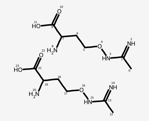 CC(=N)NOCCC(N)C(=O)O.CC(=N)NOCCC(N)C(=O)O